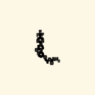 CC(COc1ccnc(N2CCN(c3ncc(C(F)(F)F)cn3)CC2=O)c1)OC(N)=O